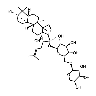 CC(C)=CCC[C@](C)(O[C@@H]1O[C@H](CO[C@@H]2OC[C@H](O)[C@H](O)[C@H]2O)[C@@H](O)[C@H](O)[C@H]1O)[C@H]1CC[C@]2(C)[C@@H]1[C@H](O)C[C@@H]1[C@@]3(C)CC[C@H](O)C(C)(C)[C@@H]3CC[C@]12C